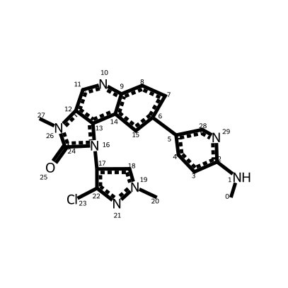 CNc1ccc(-c2ccc3ncc4c(c3c2)n(-c2cn(C)nc2Cl)c(=O)n4C)cn1